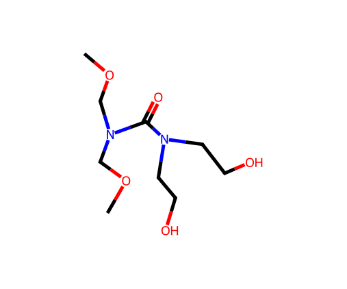 COCN(COC)C(=O)N(CCO)CCO